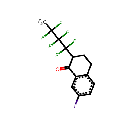 O=C1c2cc(I)ccc2CCC1C(F)(F)C(F)(F)C(F)(F)C(F)(F)F